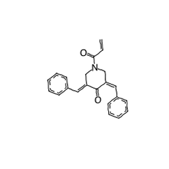 C=CC(=O)N1CC(=Cc2ccccc2)C(=O)C(=Cc2ccccc2)C1